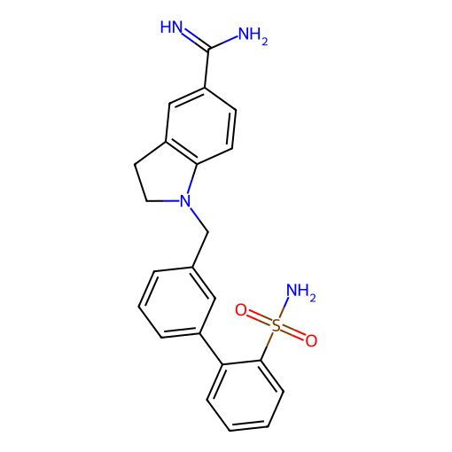 N=C(N)c1ccc2c(c1)CCN2Cc1cccc(-c2ccccc2S(N)(=O)=O)c1